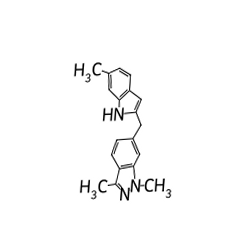 Cc1ccc2cc(Cc3ccc4c(C)nn(C)c4c3)[nH]c2c1